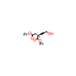 CC(C)OC(=O)C[C@@H](C#CCO)C(=O)OC(C)C